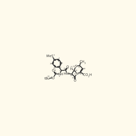 CSc1ccc(C(NC(=O)OC(C)(C)C)C(=O)NC2C(=O)N3C(C(=O)O)=CC(C)S[C@H]23)cc1